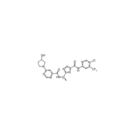 C[C@@H](NC(=O)c1cc(N2CCC(O)C2)ncn1)c1ncc(C(=O)Nc2cc(C(F)(F)F)c(Cl)cn2)s1